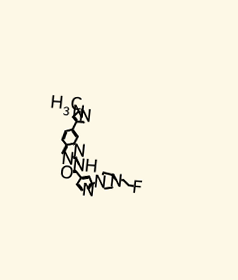 Cn1cc(-c2ccc3cnc(NC(=O)c4ccnc(N5CCN(CCF)CC5)c4)nc3c2)cn1